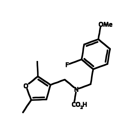 COc1ccc(CN(Cc2cc(C)oc2C)C(=O)O)c(F)c1